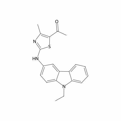 CCn1c2ccccc2c2cc(Nc3nc(C)c(C(C)=O)s3)ccc21